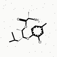 Cc1ccc(O[C@H](CC(C)C)[C@H](C)OC(=O)[C@H](C)N)c(Cl)c1